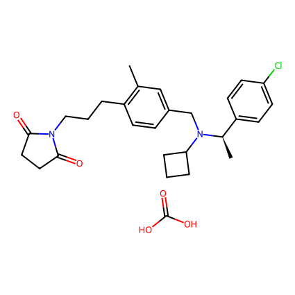 Cc1cc(CN(C2CCC2)[C@H](C)c2ccc(Cl)cc2)ccc1CCCN1C(=O)CCC1=O.O=C(O)O